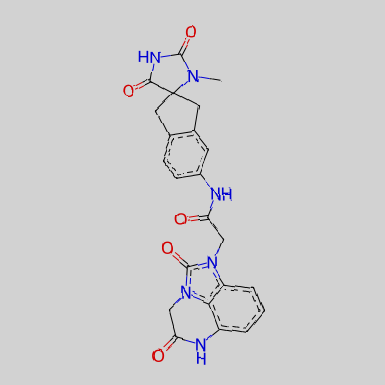 CN1C(=O)NC(=O)C12Cc1ccc(NC(=O)Cn3c(=O)n4c5c(cccc53)NC(=O)C4)cc1C2